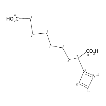 O=C(O)CCCCCCC(C(=O)O)C1=NC=C1